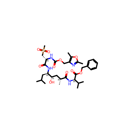 Cc1nc(COC(=O)N[C@@H](CS(C)(=O)=O)C(=O)N[C@H](CC(C)C)[C@@H](O)C[C@@H](C)C(=O)N[C@@H](C(=O)OCc2ccccc2)C(C)C)c(C)o1